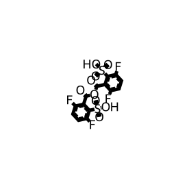 O=C(OC(=O)c1c(F)ccc(F)c1S(=O)(=O)O)c1c(F)ccc(F)c1S(=O)(=O)O